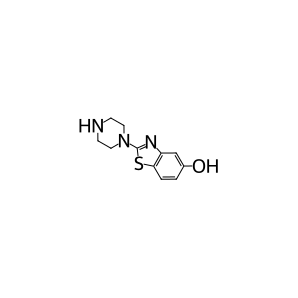 Oc1ccc2sc(N3CCNCC3)nc2c1